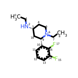 CCN[C@@H]1CCN(CC)[C@H](c2cccc(F)c2F)C1